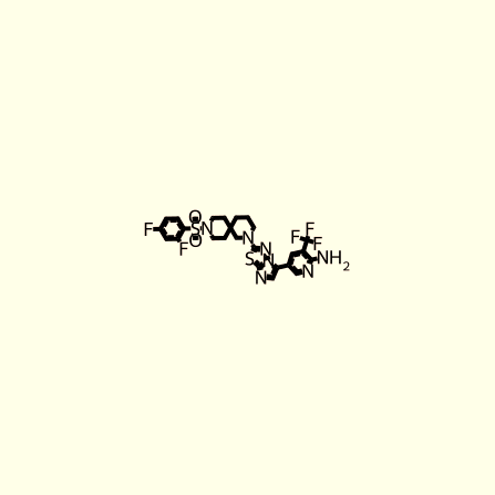 Nc1ncc(-c2cnc3sc(N4CCCC5(CCN(S(=O)(=O)c6ccc(F)cc6F)CC5)C4)nn23)cc1C(F)(F)F